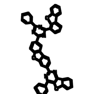 c1ccc(-c2nc(-c3ccc4oc5cc(-c6nc(-c7ccccc7)c7oc8ccccc8c7n6)ccc5c4c3)nc(-c3cccc4c3oc3ccccc34)n2)cc1